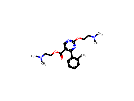 Cc1ccccc1-c1nc(OCCN(C)C)ncc1C(=O)OCCN(C)C